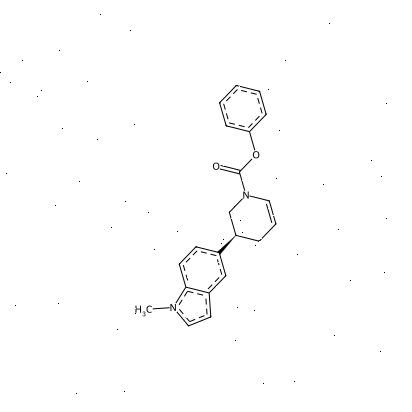 Cn1ccc2cc([C@@H]3CC=CN(C(=O)Oc4ccccc4)C3)ccc21